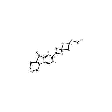 Cn1c2ccncc2c2ccc(N3CC4(CN(CCF)C4)C3)nc21